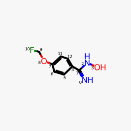 N=C(NO)c1ccc(OCF)cc1